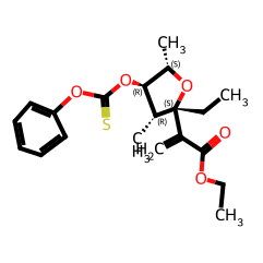 C=C(C(=O)OCC)[C@@]1(CC)O[C@@H](C)[C@H](OC(=S)Oc2ccccc2)[C@H]1C